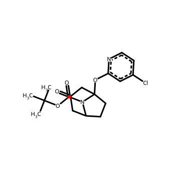 CC(C)(C)OC(=O)N1C2CCC1(Oc1cc(Cl)ccn1)CC(=O)C2